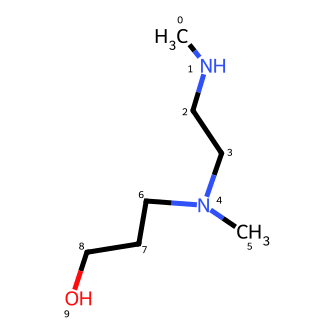 CNCCN(C)CCCO